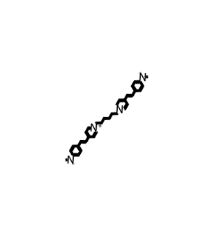 CN(C)c1ccc(/C=C/c2cc[n+](CCCCCC[n+]3ccc(/C=C/c4ccc(N(C)C)cc4)cc3)cc2)cc1